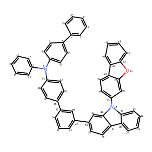 c1ccc(-c2ccc(N(c3ccccc3)c3ccc(-c4cccc(-c5ccc6c7ccccc7n(-c7ccc8c(c7)oc7ccccc78)c6c5)c4)cc3)cc2)cc1